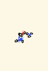 c1ccc(-c2nc(-c3ccccc3)nc(-c3cc4c5cc(-c6ccc(N(c7ccccc7)c7ccccc7)cc6)ccc5oc4c4ccccc34)n2)cc1